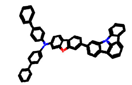 c1ccc(-c2ccc(N(c3ccc(-c4ccccc4)cc3)c3ccc4c(c3)oc3cc(-c5ccc6c7cccc8c9ccccc9n(c6c5)c87)ccc34)cc2)cc1